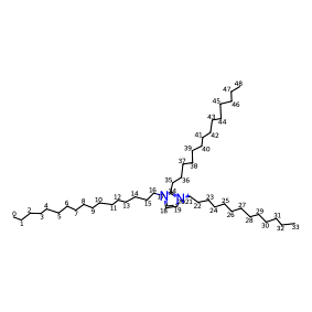 CCCCCCCCCCCCCCCCCn1cc[n+](CCCCCCCCCCCCC)c1CCCCCCCCCCCCCC